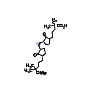 COC(C)(C)CCCC1CCC(/C=C\C2CCC(CCCC(C)(C)C(=O)O)C2=O)C1=O